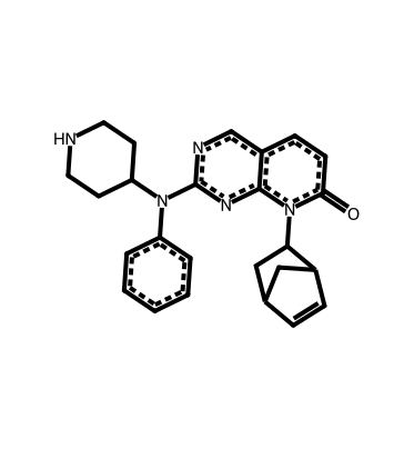 O=c1ccc2cnc(N(c3ccccc3)C3CCNCC3)nc2n1C1CC2C=CC1C2